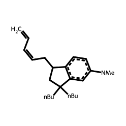 C=C/C=C\CC1CC(CCCC)(CCCC)c2cc(NC)ccc21